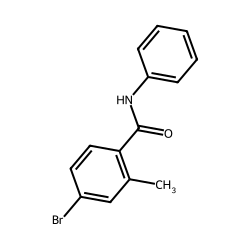 Cc1cc(Br)ccc1C(=O)Nc1ccccc1